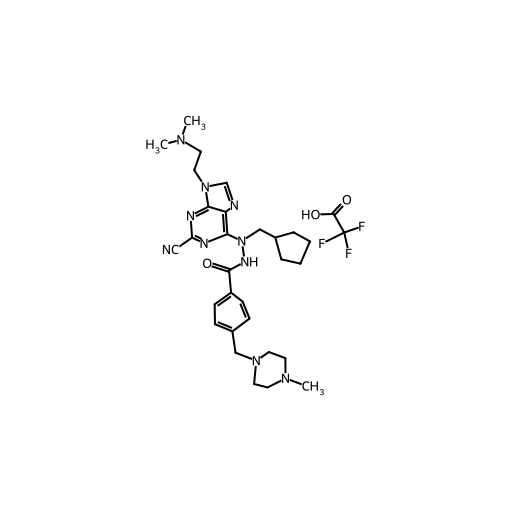 CN(C)CCn1cnc2c(N(CC3CCCC3)NC(=O)c3ccc(CN4CCN(C)CC4)cc3)nc(C#N)nc21.O=C(O)C(F)(F)F